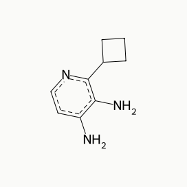 Nc1ccnc(C2CCC2)c1N